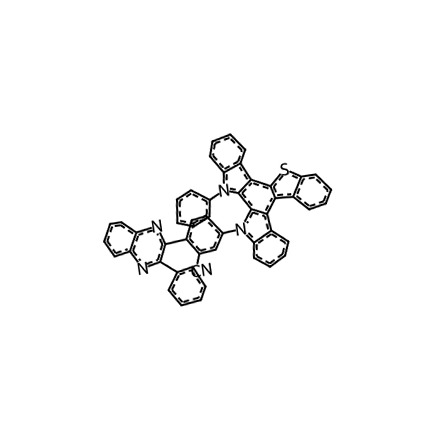 N#Cc1cc(-n2c3ccccc3c3c4c5ccccc5sc4c4c5ccccc5n(-c5ccccc5)c4c32)ccc1-c1nc2ccccc2nc1-c1ccccc1